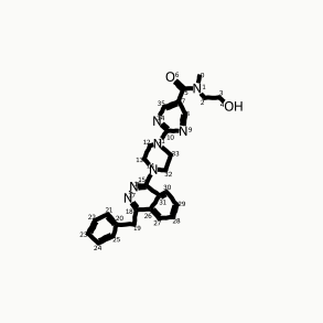 CN(CCO)C(=O)c1cnc(N2CCN(c3nnc(Cc4ccccc4)c4ccccc34)CC2)nc1